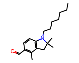 CCCCCCCN1c2ccc(C=O)c(C)c2CC1(C)C